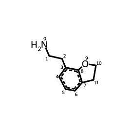 NCCc1cccc2c1OCC2